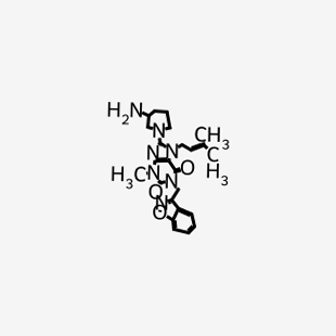 CC(C)=CCn1c(N2CCCC(N)C2)nc2c1c(=O)n(Cc1noc3ccccc13)c(=O)n2C